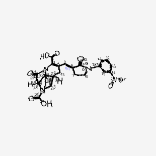 O=C(O)C1=C(/C=C2\CCN(c3cccc([N+](=O)[O-])c3)C2=O)C[C@@H]2CN(C(=O)O)[C@@H]3C(=O)N1[C@H]23